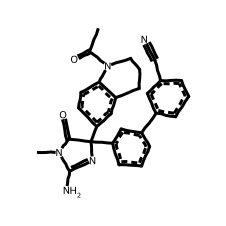 CC(=O)N1CCCc2cc(C3(c4cccc(-c5cccc(C#N)c5)c4)N=C(N)N(C)C3=O)ccc21